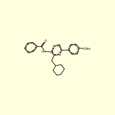 COc1ccc(-c2cnc(NC(=O)c3ccccc3)c(CC3CCCCC3)n2)cc1